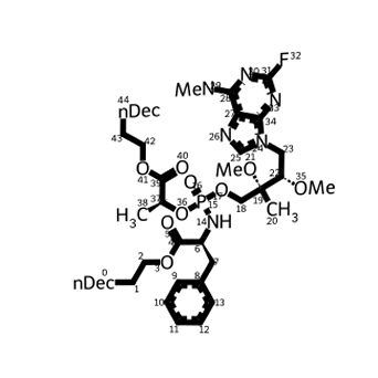 CCCCCCCCCCCCOC(=O)[C@H](Cc1ccccc1)NP(=O)(OC[C@@](C)(OC)[C@H](Cn1cnc2c(NC)nc(F)nc21)OC)O[C@@H](C)C(=O)OCCCCCCCCCCCC